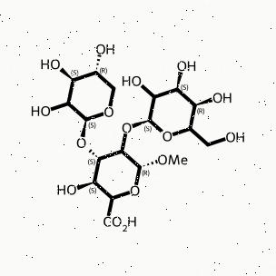 CO[C@@H]1OC(C(=O)O)[C@@H](O)[C@H](O[C@@H]2OC[C@@H](O)[C@H](O)C2O)C1O[C@@H]1OC(CO)[C@H](O)[C@H](O)C1O